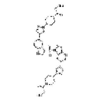 CC(C)(C)OC(=O)N1CCC(n2cc(-c3cnc4cnn(S(=O)(=O)c5cnc6ccc(-c7cnn(C8CCN(C(=O)OC(C)(C)C)CC8)c7)cn56)c4c3)cn2)CC1